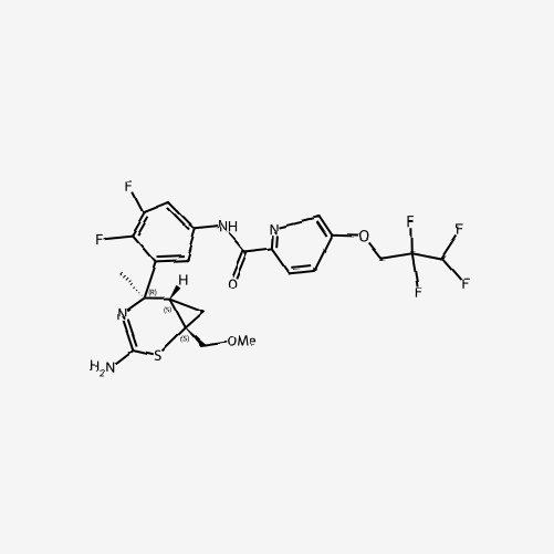 COC[C@]12C[C@H]1[C@](C)(c1cc(NC(=O)c3ccc(OCC(F)(F)C(F)F)cn3)cc(F)c1F)N=C(N)S2